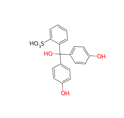 O=S(=O)(O)c1ccccc1C(O)(c1ccc(O)cc1)c1ccc(O)cc1